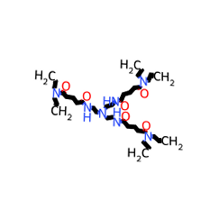 C=CCN(CC=C)C(=O)CCCC(=O)NCCN(CCNC(=O)CCCC(=O)N(CC=C)CC=C)CCNC(=O)CCCC(=O)N(CC=C)CC=C